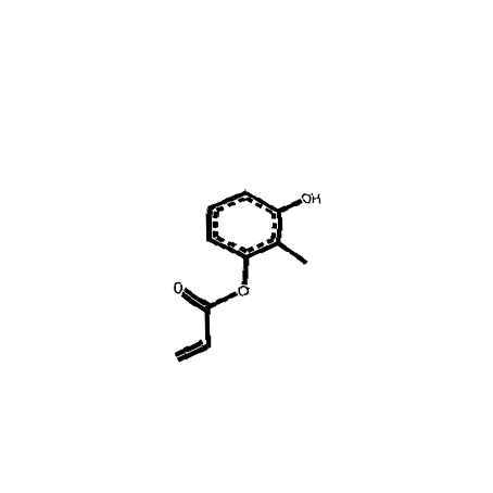 C=CC(=O)Oc1cc[c]c(O)c1C